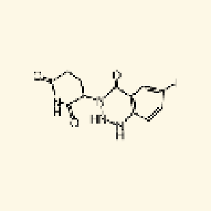 O=C1CCC(N2NNc3ccc(I)cc3C2=O)C(=O)N1